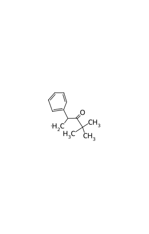 [CH2]C(C(=O)C(C)(C)C)c1ccccc1